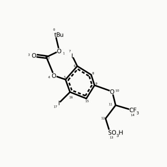 CC(C)(C)OC(=O)Oc1c(I)cc(OC(CS(=O)(=O)O)C(F)(F)F)cc1I